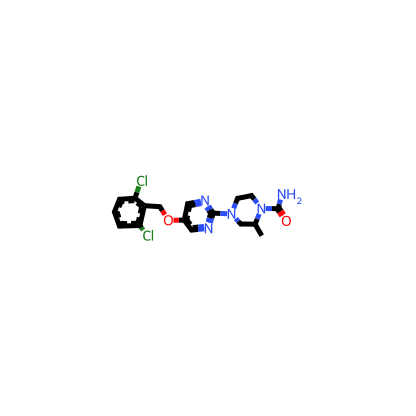 CC1CN(c2ncc(OCc3c(Cl)cccc3Cl)cn2)CCN1C(N)=O